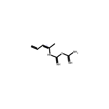 C=C/C=C(/C)NC(=N)SC(=N)N